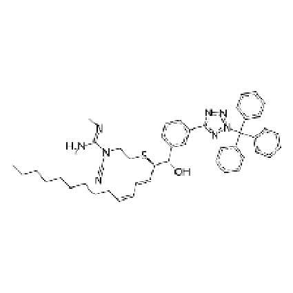 CCCCCCCCC/C=C\C=C\[C@@H](SCCN(C#N)C(N)=NC)[C@@H](O)c1cccc(-c2nnn(C(c3ccccc3)(c3ccccc3)c3ccccc3)n2)c1